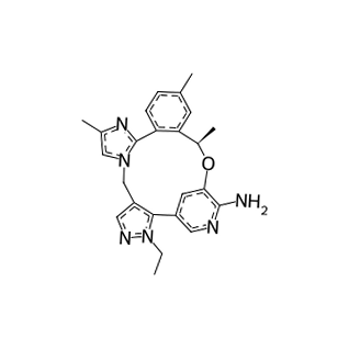 CCn1ncc2c1-c1cnc(N)c(c1)O[C@H](C)c1cc(C)ccc1-c1nc(C)cn1C2